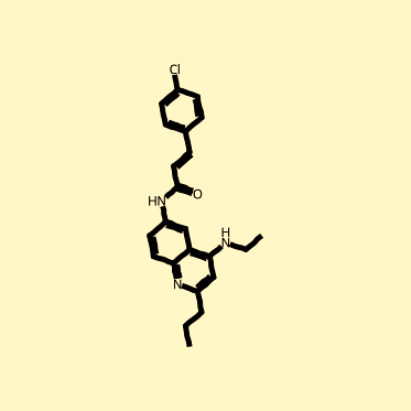 CCCc1cc(NCC)c2cc(NC(=O)/C=C/c3ccc(Cl)cc3)ccc2n1